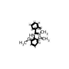 C/N=C(/Nc1c(OC)cccc1OC)c1ccccc1F